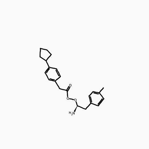 Cc1ccc(C[C@@H](N)OOC(=O)Cc2ccc(C3CCCC3)cc2)cc1